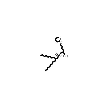 CCCCCCCCC(CCCCCCCC)CC(=O)OCC(CO)CCCCOC1CCCCO1